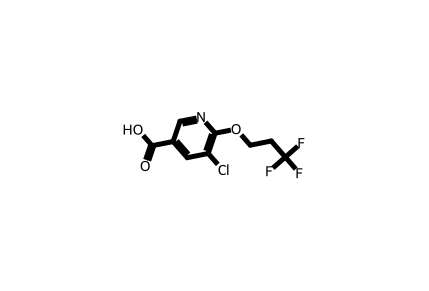 O=C(O)c1cnc(OCCC(F)(F)F)c(Cl)c1